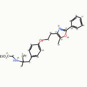 CCCC(C)(Cc1ccc(OCCc2nc(-c3ccccc3)oc2C)cc1)NCC(=O)OCC